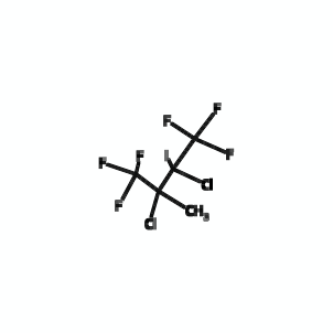 CC(Cl)(C(F)(F)F)C(Cl)(I)C(F)(F)F